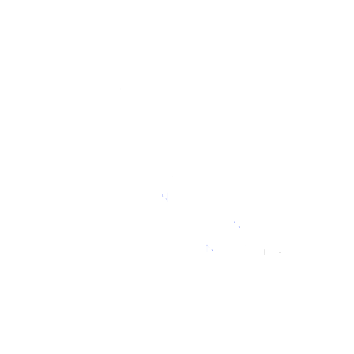 CCCCc1nc(-c2ccc(C#Cc3cccc(F)c3)nc2)no1